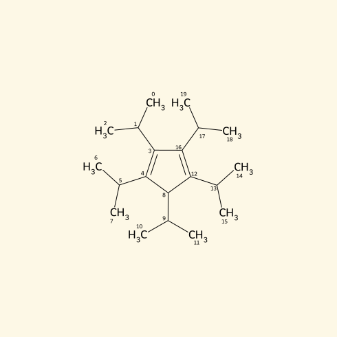 CC(C)C1=C(C(C)C)C(C(C)C)C(C(C)C)=C1C(C)C